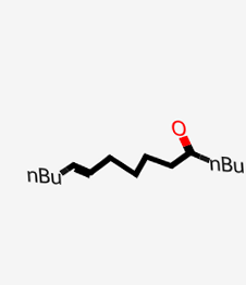 CCCC/C=C/CCCCC(=O)CCCC